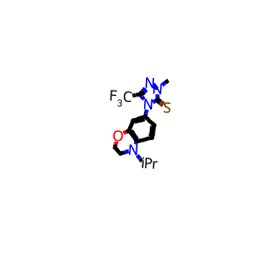 CC(C)N1CCOc2cc(-n3c(C(F)(F)F)nn(C)c3=S)ccc21